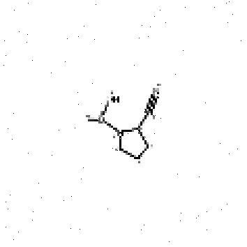 CB(O)N1CCCC1C#N